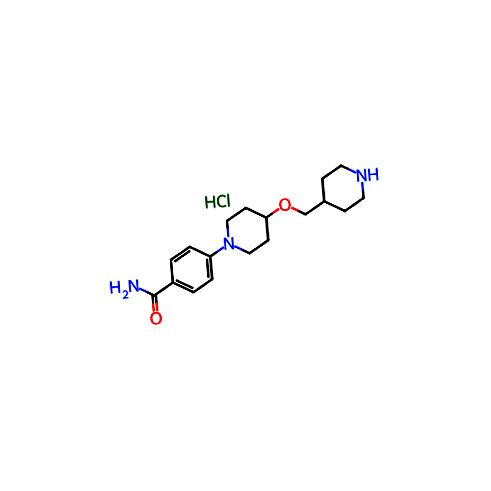 Cl.NC(=O)c1ccc(N2CCC(OCC3CCNCC3)CC2)cc1